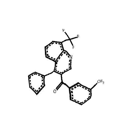 Cc1cccc(C(=O)c2cnc3c(C(F)(F)F)cccc3c2-c2ccccc2)c1